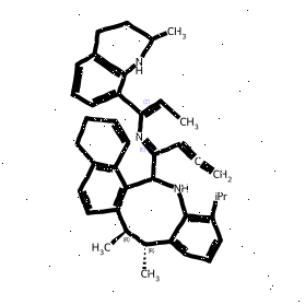 C=C=C/C(=N\C(=C/C)c1cccc2c1NC(C)CC2)C1Nc2c(C(C)C)cccc2[C@H](C)[C@@H](C)c2ccc3c(c21)C=CCC3